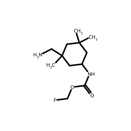 CC1(C)CC(NC(=O)OCF)CC(C)(CN)C1